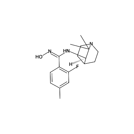 Cc1ccc(/C(=N\O)N[C@@H]2C3CCN(CC3)C2(C)C)c(F)c1